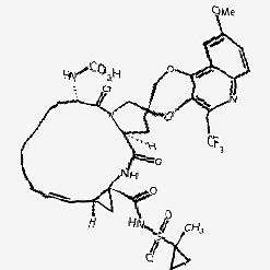 COc1ccc2nc(C(F)(F)F)c3c(c2c1)OC[C@]1(C[C@H]2C(=O)N[C@]4(C(=O)NS(=O)(=O)C5(C)CC5)C[C@@H]4C=CCCCCC[C@H](NC(=O)O)C(=O)N2C1)O3